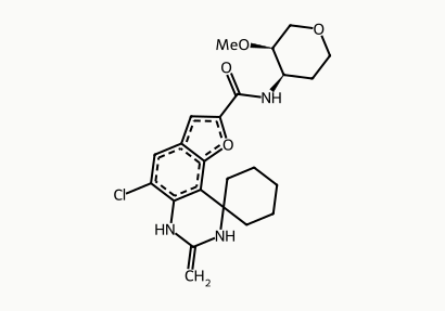 C=C1Nc2c(Cl)cc3cc(C(=O)N[C@@H]4CCOC[C@@H]4OC)oc3c2C2(CCCCC2)N1